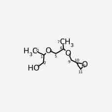 CC(CO)OCC(C)OCC1CO1